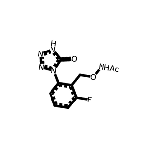 CC(=O)NOCc1c(F)cccc1-n1nn[nH]c1=O